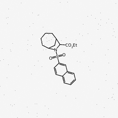 CCOC(=O)C1C2CCCCC(C2)N1S(=O)(=O)c1ccc2ccccc2c1